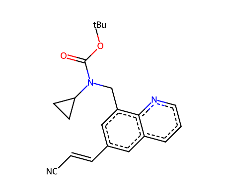 CC(C)(C)OC(=O)N(Cc1cc(C=CC#N)cc2cccnc12)C1CC1